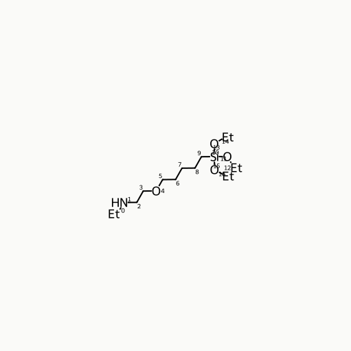 CCNCCOCCCCC[Si](OCC)(OCC)OCC